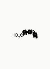 O=C(O)Cc1cccc(-c2ccc(Oc3ccc(F)cc3)cc2)n1